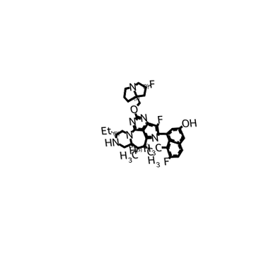 CC[C@@H]1CN2c3nc(OC[C@@]45CCCN4C[C@H](F)C5)nc4c(F)c(-c5cc(O)cc6ccc(F)c(C)c56)nc(c34)[C@@H](C)[C@H](C)[C@H]2CN1